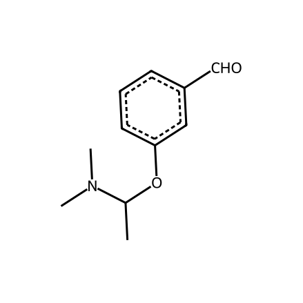 CC(Oc1cccc(C=O)c1)N(C)C